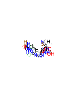 Cc1ncsc1-c1ccc(CNC(=O)[C@@H]2C[C@@H](O)CN2C(=O)[C@@H](NC(=O)CN2CCN(CC3CCN(c4ccc(Nc5ncc(Cl)c(Nc6ccccc6N(C)[SH]=O)n5)c(Cl)c4)CC3)CC2)C(C)(C)C)cc1